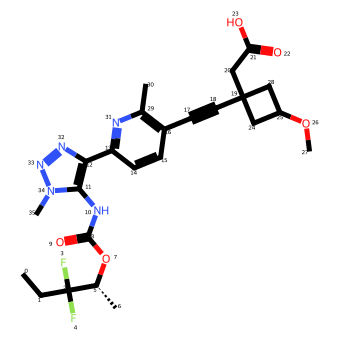 CCC(F)(F)[C@@H](C)OC(=O)Nc1c(-c2ccc(C#CC3(CC(=O)O)CC(OC)C3)c(C)n2)nnn1C